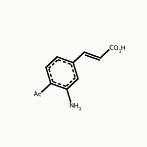 CC(=O)c1ccc(/C=C/C(=O)O)cc1N